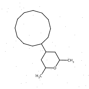 CC1CC(C2CCCCCCCCCCC2)CC(C)O1